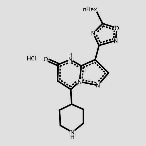 CCCCCCc1nc(-c2cnn3c(C4CCNCC4)cc(=O)[nH]c23)no1.Cl